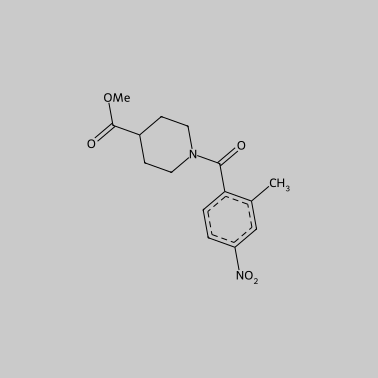 COC(=O)C1CCN(C(=O)c2ccc([N+](=O)[O-])cc2C)CC1